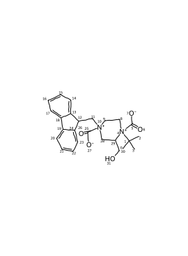 CC(C)(C)[N+]1(C(=O)[O-])CC[N+](CC2c3ccccc3-c3ccccc32)(C(=O)[O-])CC1CO